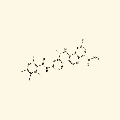 Cc1nc(F)c(C(=O)Nc2cccc(C(C)Nc3ncnc4c(C(N)=O)cc(F)cc34)c2)c(F)c1F